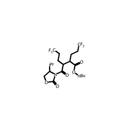 CCCCOC(=O)C(CCC(F)(F)F)C(CCC(F)(F)F)C(=O)N1C(=O)OCC1C(C)C